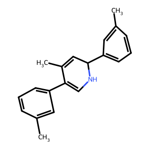 CC1=CC(c2cccc(C)c2)NC=C1c1cccc(C)c1